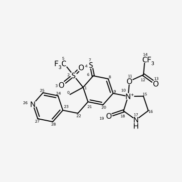 CC1(S(=O)(=O)C(F)(F)F)C(=S)C=C([N+]2(OC(=O)C(F)(F)F)CCNC2=O)C=C1Cc1ccncc1